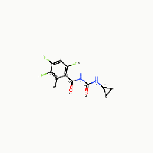 Cc1c(F)c(F)cc(F)c1C(=O)NC(=O)NC1CC1